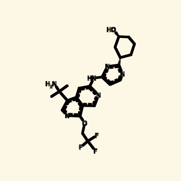 CC(C)(N)c1cnc(OCC(F)(F)F)c2cnc(Nc3ccnc([C@H]4CCC[C@H](O)C4)n3)cc12